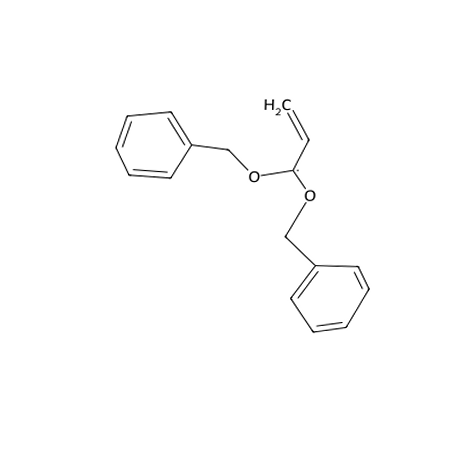 C=C[C](OCc1ccccc1)OCc1ccccc1